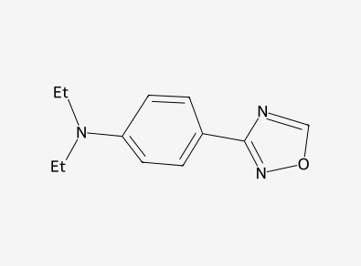 CCN(CC)c1ccc(-c2ncon2)cc1